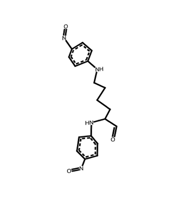 O=CC(CCCCNc1ccc(N=O)cc1)Nc1ccc(N=O)cc1